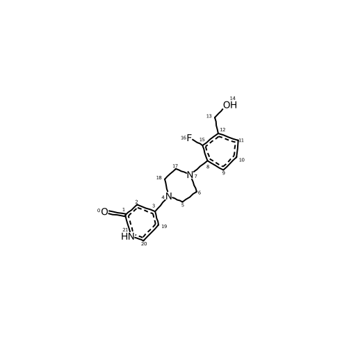 O=c1cc(N2CCN(c3cccc(CO)c3F)CC2)cc[nH]1